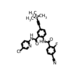 C[Si](C)(C)C#Cc1ccc(NC(=O)c2ccc(C#N)cc2F)c(C(=O)Nc2ccc(Cl)cn2)c1